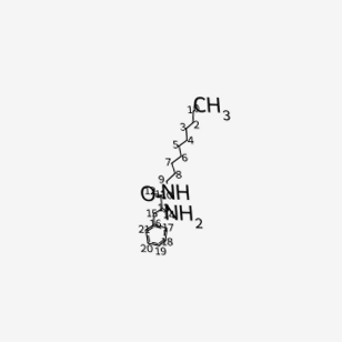 CCCCCCCCCCNC(=O)[C@@H](N)Cc1ccccc1